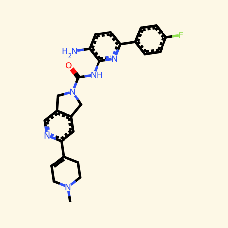 CN1CC=C(c2cc3c(cn2)CN(C(=O)Nc2nc(-c4ccc(F)cc4)ccc2N)C3)CC1